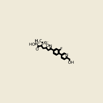 C[S+]([O-])C(CC1CC(c2ccc(-c3ccc(CO)nc3)c(F)c2)=NO1)C(=O)NO